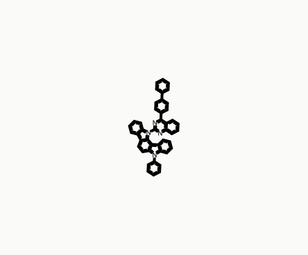 c1ccc(-c2ccc(-c3nc(-n4c5ccccc5c5ccc6c(c7ccccc7n6-c6ccccc6)c54)nc4ccccc34)cc2)cc1